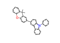 CC1(C)c2ccccc2Oc2ccc(-c3ccc4c(c3)c3ccccc3n4-c3ccccc3)cc21